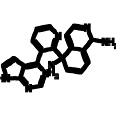 NC1N=CC=C2C1=CC=CC2(N)c1ncccc1-c1ncnc2[nH]ccc12